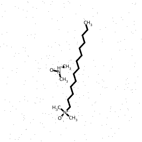 CCCCCCCCCCCCCC[N+](C)(C)[O-].C[NH+](C)[O-]